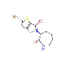 O=C1NCCCC[C@@H]1N1Cc2cc(Br)sc2C1=O